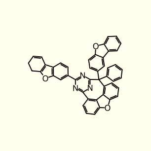 C1=Cc2c(oc3cc(-c4nc5nc(n4)C(c4ccccc4)(c4ccc6oc7ccccc7c6c4)c4cccc6oc7cccc-5c7c46)ccc23)CC1